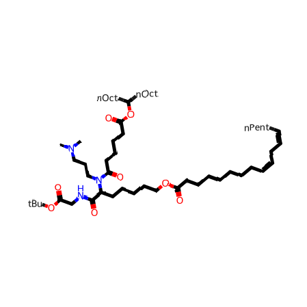 CCCCC/C=C\C/C=C\CCCCCCCC(=O)OCCCCCC(C(=O)NCC(=O)OC(C)(C)C)N(CCCN(C)C)C(=O)CCCCC(=O)OC(CCCCCCCC)CCCCCCCC